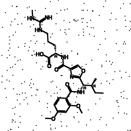 CC[C@H](C)[C@H](NC(=O)c1ccc(OC)cc1OC)c1nc(C(=O)N[C@@H](CCCNC(=N)NC)C(=O)O)co1